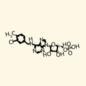 Cc1ccc(CNc2ncnc3c2ncn3[C@@H]2O[C@H](COP(=O)(O)O)[C@@H](O)[C@H]2O)cc1Cl